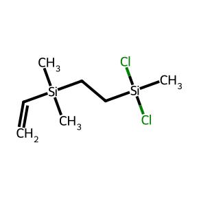 C=C[Si](C)(C)CC[Si](C)(Cl)Cl